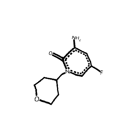 Nc1cc(F)cn(C2CCOCC2)c1=O